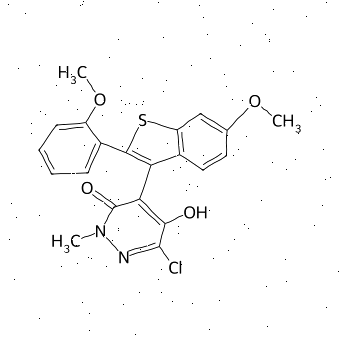 COc1ccc2c(-c3c(O)c(Cl)nn(C)c3=O)c(-c3ccccc3OC)sc2c1